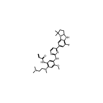 C=CC(=O)Nc1cc(Nc2nccc(-c3cc(F)c4c(c3)N3C(CCC3(C)C)N4)n2)c(OC)cc1N(C)CCN(C)C